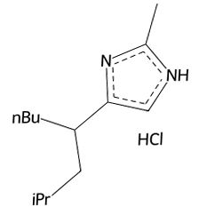 CCCCC(CC(C)C)c1c[nH]c(C)n1.Cl